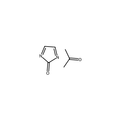 CC(C)=O.O=C1N=CC=N1